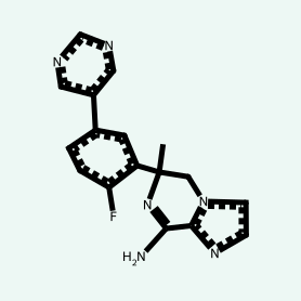 CC1(c2cc(-c3cncnc3)ccc2F)Cn2ccnc2C(N)=N1